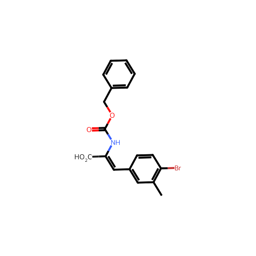 Cc1cc(/C=C(\NC(=O)OCc2ccccc2)C(=O)O)ccc1Br